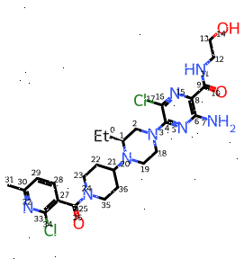 CC[C@H]1CN(c2nc(N)c(C(=O)NCCO)nc2Cl)CCN1C1CCN(C(=O)c2ccc(C)nc2Cl)CC1